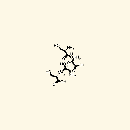 C[C@H](N)C(=O)O.NCC(=O)O.N[C@@H](CO)C(=O)O.N[C@@H](CO)C(=O)O